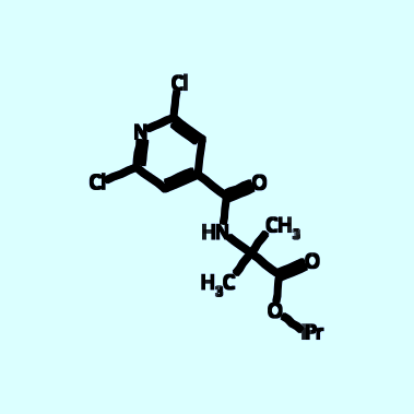 CC(C)OC(=O)C(C)(C)NC(=O)c1cc(Cl)nc(Cl)c1